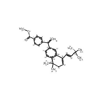 C=C(c1ccc(C(=O)OC)cc1)c1ccc2c(c1)C(C=CC(C)(C)C)=CCC2(C)C